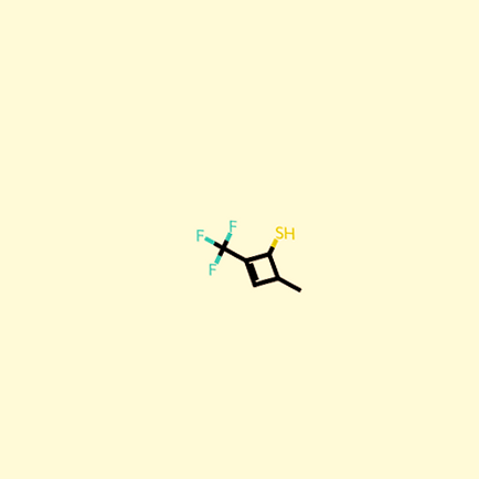 CC1C=C(C(F)(F)F)C1S